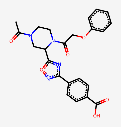 CC(=O)N1CCN(C(=O)COc2ccccc2)C(c2nc(-c3ccc(C(=O)O)cc3)no2)C1